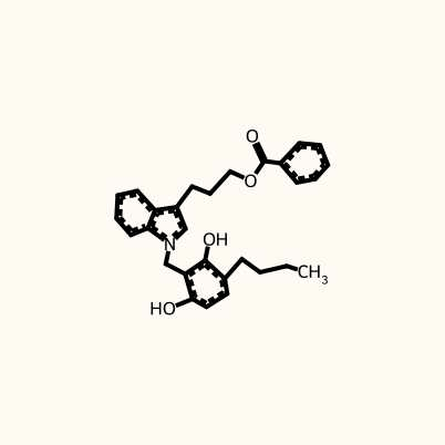 CCCCc1ccc(O)c(Cn2cc(CCCOC(=O)c3ccccc3)c3ccccc32)c1O